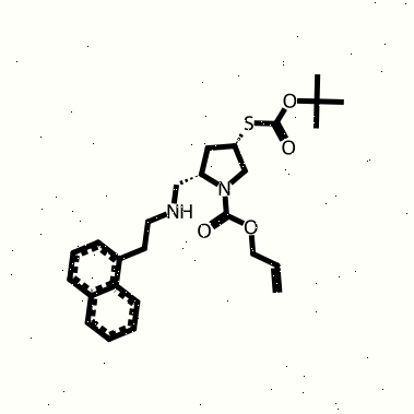 C=CCOC(=O)N1C[C@@H](SC(=O)OC(C)(C)C)C[C@H]1CNCCc1cccc2ccccc12